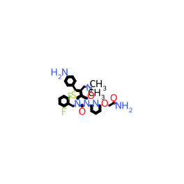 CN(C)Cc1c(-c2ccc(N)cc2)sc2c1c(=O)n(-c1cccc(OCC(N)=O)n1)c(=O)n2Cc1c(F)cccc1F